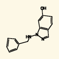 Oc1ccc2cnn(NCc3ccccc3)c2c1